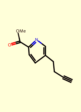 C#CCCc1ccc(C(=O)OC)nc1